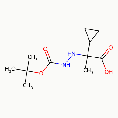 CC(C)(C)OC(=O)NNC(C)(C(=O)O)C1CC1